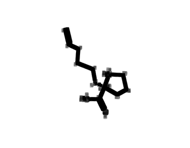 C=CCCCS[C@@]1(C(=O)O)CCCN1